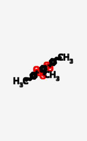 CCCc1ccc(C(=O)Oc2ccc(OC(=O)c3ccc(CCC)cc3)c(C(C)=O)c2)cc1